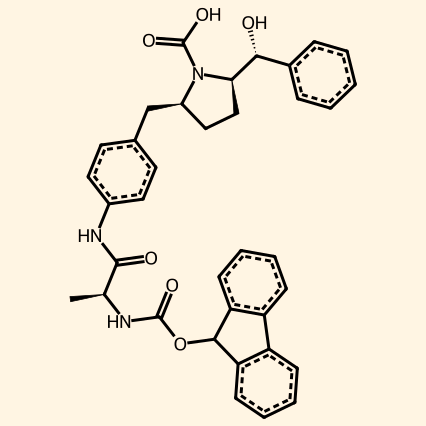 C[C@H](NC(=O)OC1c2ccccc2-c2ccccc21)C(=O)Nc1ccc(C[C@@H]2CC[C@H]([C@H](O)c3ccccc3)N2C(=O)O)cc1